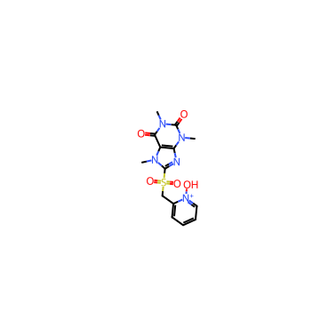 Cn1c(=O)c2c(nc(S(=O)(=O)Cc3cccc[n+]3O)n2C)n(C)c1=O